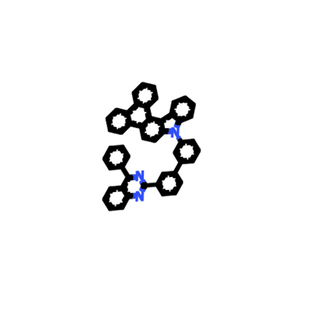 c1ccc(-c2nc(-c3cccc(-c4cccc(-n5c6ccccc6c6c7c8ccccc8c8ccccc8c7ccc65)c4)c3)nc3ccccc23)cc1